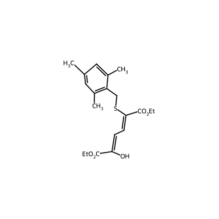 CCOC(=O)/C(O)=C/C=C(\SCc1c(C)cc(C)cc1C)C(=O)OCC